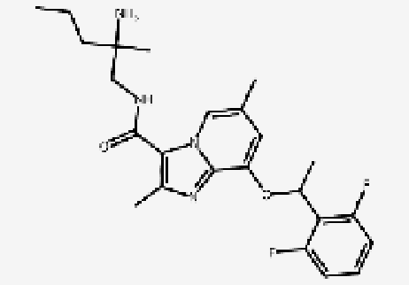 CCCC(C)(N)CNC(=O)c1c(C)nc2c(OC(C)c3c(F)cccc3F)cc(C)cn12